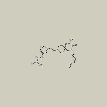 CC(C)C(=O)Nc1cccc(CCN2CCC3(CC2)CN(/C=C/C=C\C=O)C(=O)C(C)O3)c1